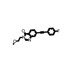 COCCn1cnc2cc(C#Cc3ccc(F)cc3)ccc2c1=O